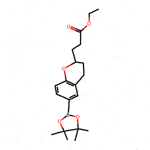 CCOC(=O)CCC1CCc2cc(B3OC(C)(C)C(C)(C)O3)ccc2O1